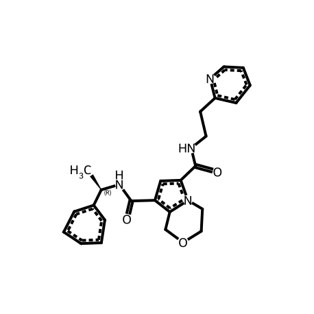 C[C@@H](NC(=O)c1cc(C(=O)NCCc2ccccn2)n2c1COCC2)c1ccccc1